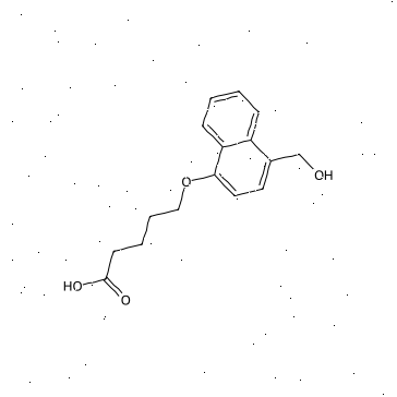 O=C(O)CCCCOc1ccc(CO)c2ccccc12